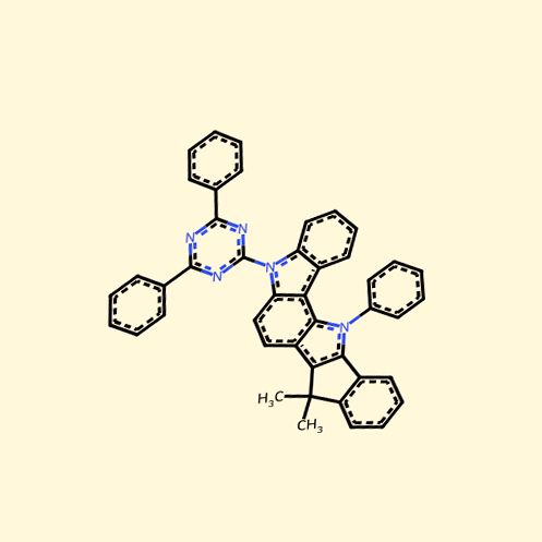 CC1(C)c2ccccc2-c2c1c1ccc3c(c4ccccc4n3-c3nc(-c4ccccc4)nc(-c4ccccc4)n3)c1n2-c1ccccc1